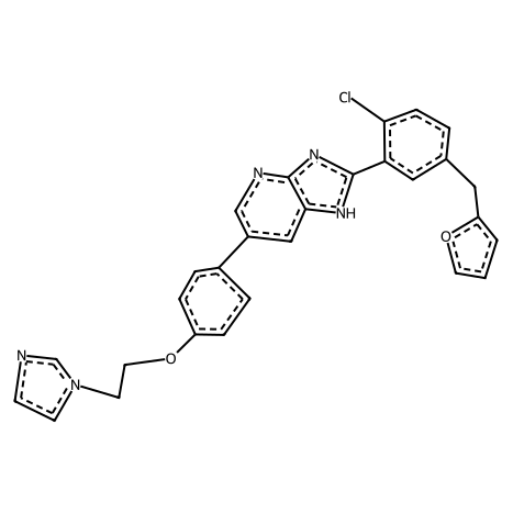 Clc1ccc(Cc2ccco2)cc1-c1nc2ncc(-c3ccc(OCCn4ccnc4)cc3)cc2[nH]1